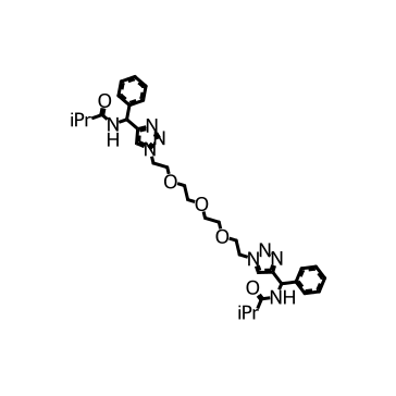 CC(C)C(=O)NC(c1ccccc1)c1cn(CCOCCOCCOCCn2cc(C(NC(=O)C(C)C)c3ccccc3)nn2)nn1